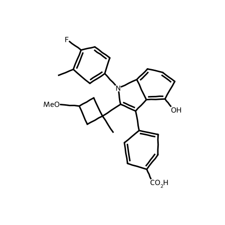 COC1CC(C)(c2c(-c3ccc(C(=O)O)cc3)c3c(O)cccc3n2-c2ccc(F)c(C)c2)C1